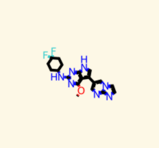 COc1nc(NC2CCC(F)(F)CC2)nc2[nH]cc(-c3cnc4nccn4c3)c12